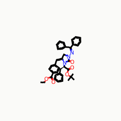 CCOC(=O)c1ccc(/C=C2/CN(N=C(c3ccccc3)c3ccccc3)C(=O)N2[C@H](Cc2ccccc2)C(=O)OC(C)(C)C)cc1